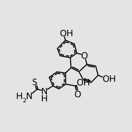 NC(=S)Nc1ccc(C2=C3C=CC(O)C=C3Oc3cc(O)ccc32)c(C(=O)O)c1